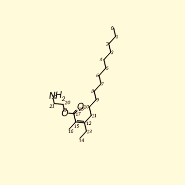 CCCCCCCCCCCCC(CC)=C(C)C(=O)OCCN